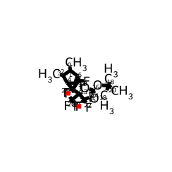 CC1C(C)C2CC1C(F)(F)C2(F)C(OC(=O)OC(C)(C)C)(C(F)(F)F)C(F)(F)F